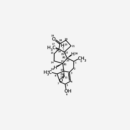 CC1CC2=CC(O)CC(C)[C@]2(C=O)[C@@H]2CC[C@]3(C)C(=O)CC[C@H]3[C@H]12